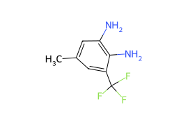 Cc1cc(N)c(N)c(C(F)(F)F)c1